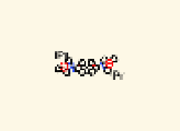 CC(C)c1ccc(N(c2ccc3c4c(ccc3c2)-c2ccc3cc(N(c5ccc(C(C)C)cc5)c5cccc6c5oc5ccccc56)ccc3c2C4(c2ccccc2)c2ccccc2)c2cccc3c2oc2ccccc23)cc1